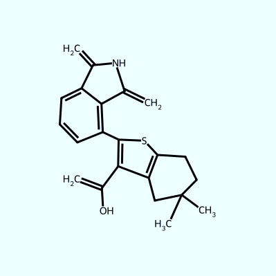 C=C(O)c1c(-c2cccc3c(=C)[nH]c(=C)c23)sc2c1CC(C)(C)CC2